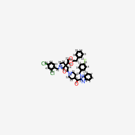 O=C(c1nc2ccccc2n1Cc1ccc(F)cc1)C1CCN(CCC2(C3=COC(Cc4ccccc4)O3)CCN(Cc3ccc(Cl)cc3Cl)C2=O)CC1